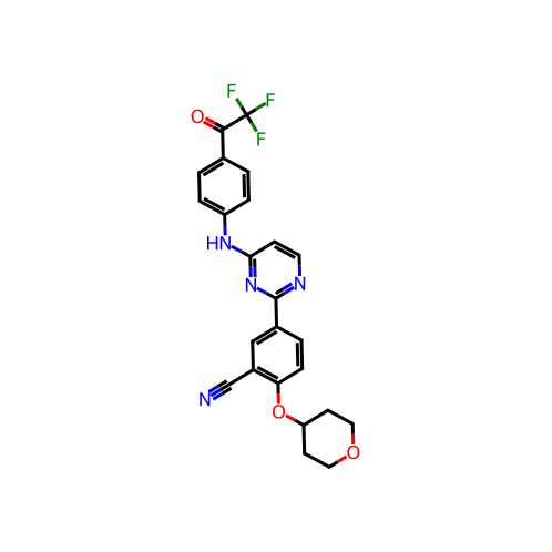 N#Cc1cc(-c2nccc(Nc3ccc(C(=O)C(F)(F)F)cc3)n2)ccc1OC1CCOCC1